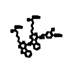 COC(=O)CCCCc1nc(Cl)c2c(n1)sc1ccccc12.COC(=O)CCCCc1nc(NCc2ccc(OC)c(Cl)c2)c2c(n1)sc1ccccc12